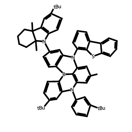 Cc1cc2c3c(c1)N(c1cccc4c1sc1ccccc14)c1cc(N4c5ccc(C(C)(C)C)cc5C5(C)CCCCC45C)ccc1B3c1ccc(C(C)(C)C)cc1N2c1cccc(C(C)(C)C)c1